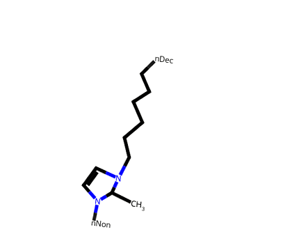 CCCCCCCCCCCCCCCCN1C=CN(CCCCCCCCC)C1C